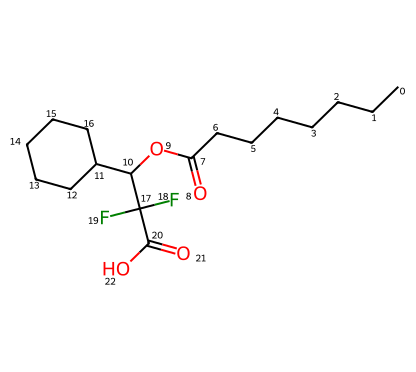 CCCCCCCC(=O)OC(C1CCCCC1)C(F)(F)C(=O)O